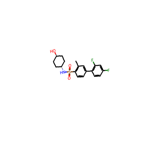 Cc1cc(-c2ccc(F)cc2F)ccc1S(=O)(=O)N[C@H]1CC[C@H](O)CC1